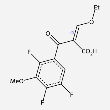 CCO/C=C(\C(=O)O)C(=O)c1cc(F)c(F)c(OC)c1F